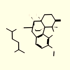 CC(O)CCC(C)O.COc1ccc2c3c1O[C@H]1C(=O)CC[C@H]4[C@@H](C2)N(C)CC[C@]314